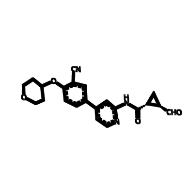 N#Cc1cc(-c2ccnc(NC(=O)[C@@H]3C[C@H]3C=O)c2)ccc1OC1CCOCC1